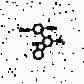 COc1ccc(OC)c(-c2nc(N)cc3c2[nH]c2ccccc23)c1